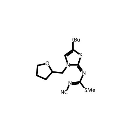 CSC(=NC#N)N=c1sc(C(C)(C)C)cn1CC1CCCO1